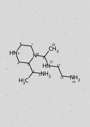 CC(N)C1CNCCN1C(C)NCCN